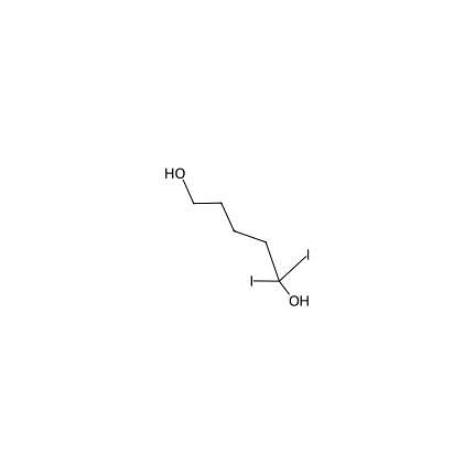 OCCCCC(O)(I)I